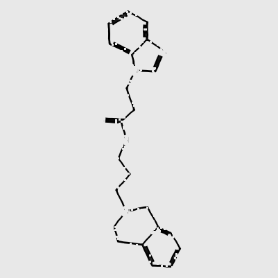 O=C(CCn1cnc2ccccc21)NCCCN1CCc2ccccc2C1